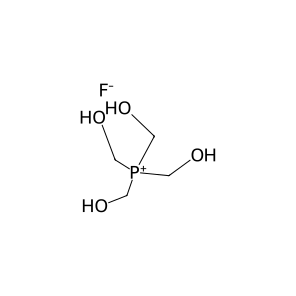 OC[P+](CO)(CO)CO.[F-]